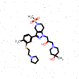 CC1(O)CCN(CC(O)Cn2nc(-c3ccc(C(F)(F)F)c(SCCN4CCCC4)c3)c3c2CCN(S(C)(=O)=O)C3)CC1